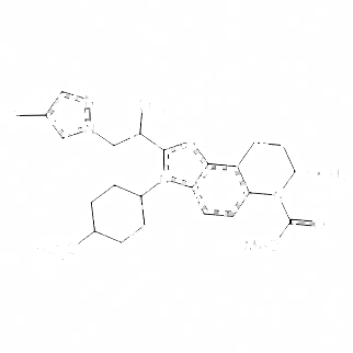 COC(=O)N1c2ccc3c(nc(C(C)Cn4cc(Cl)cn4)n3C3CCC(C(=O)O)CC3)c2CC[C@@H]1C